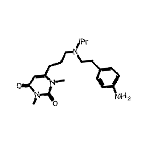 CC(C)N(CCCc1cc(=O)n(C)c(=O)n1C)CCc1ccc(N)cc1